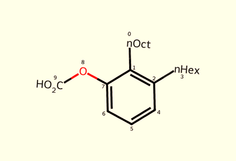 CCCCCCCCc1c(CCCCCC)cccc1OC(=O)O